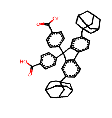 O=C(O)c1ccc(C2(c3ccc(C(=O)O)cc3)c3cc(C45CC6CC(CC(C6)C4)C5)ccc3-c3ccc(C45CC6CC(CC(C6)C4)C5)cc32)cc1